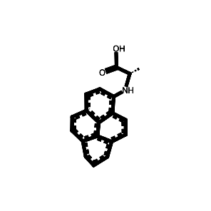 C[C@H](Nc1ccc2ccc3cccc4ccc1c2c34)C(=O)O